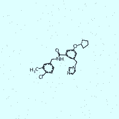 Cc1cc(CNC(=O)c2cc(Cn3ccnc3)cc(OC3CCCC3)c2)ccc1Cl